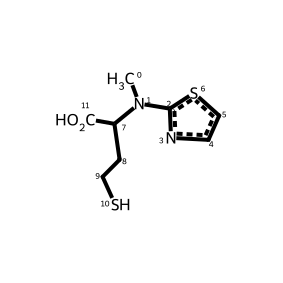 CN(c1nccs1)C(CCS)C(=O)O